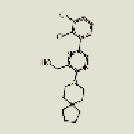 OCc1nc(-c2cccc(Cl)c2Cl)cnc1N1CCC2(CCCC2)CC1